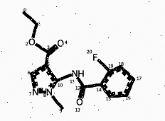 CCOC(=O)c1cnn(C)c1NC(=O)c1ccccc1F